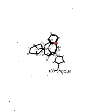 CC(C)(C)N(C(=O)O)[C@@H]1CCN(c2nc3ccccc3n(C3CC4CCC(C3)N4C3CCCCCCC3)c2=O)C1